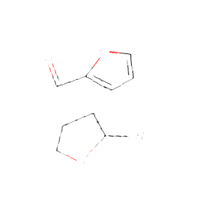 CC1CCCO1.O=Cc1ccco1